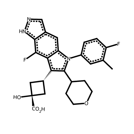 Cc1cc(-n2c(C3CCOCC3)c([C@H]3C[C@](O)(C(=O)O)C3)c3c(F)c4[nH]ncc4cc32)ccc1F